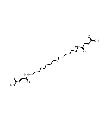 O=C(O)C=CC(=O)NCCCCCCCCCCCCCCCNC(=O)C=CC(=O)O